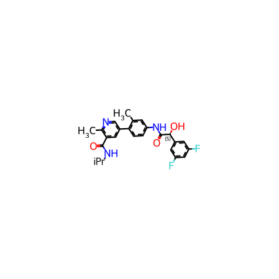 Cc1cc(NC(=O)[C@@H](O)c2cc(F)cc(F)c2)ccc1-c1cnc(C)c(C(=O)NC(C)C)c1